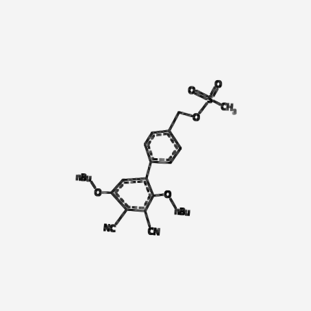 CCCCOc1cc(-c2ccc(COS(C)(=O)=O)cc2)c(OCCCC)c(C#N)c1C#N